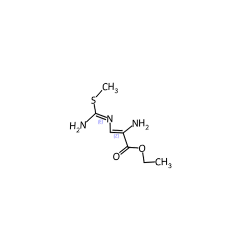 CCOC(=O)/C(N)=C/N=C(\N)SC